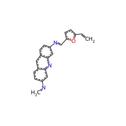 C=Cc1ccc(C=Nc2ccc3cc4ccc(N=C)cc4nc3c2)o1